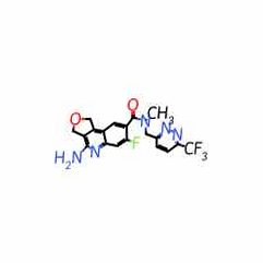 CN(Cc1ccc(C(F)(F)F)nn1)C(=O)c1cc2c3c(c(N)nc2cc1F)COC3